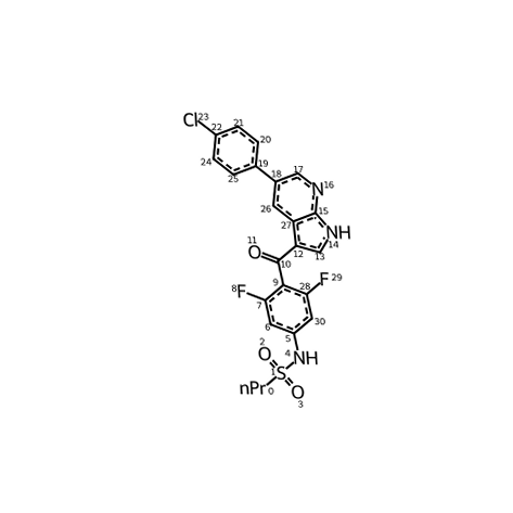 CCCS(=O)(=O)Nc1cc(F)c(C(=O)c2c[nH]c3ncc(-c4ccc(Cl)cc4)cc23)c(F)c1